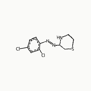 Clc1ccc(N=NC2CSCCN2)c(Cl)c1